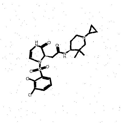 CC1(C)CN(C2CC2)CC[C@@H]1NC(=O)C[C@@H]1C(=O)NC=CN1S(=O)(=O)c1cccc(Cl)c1Cl